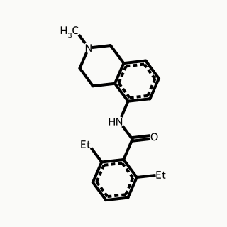 CCc1cccc(CC)c1C(=O)Nc1cccc2c1CCN(C)C2